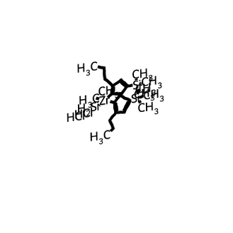 CCCC1=[C]([Zr]([CH3])([CH3])(=[SiH2])[C]2=C(CCC)C=C([Si](C)(C)C)C2)CC([Si](C)(C)C)=C1.Cl.Cl